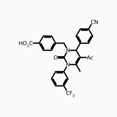 CC(=O)C1=C(C)N(c2cccc(C(F)(F)F)c2)C(=O)N(Cc2ccc(C(=O)O)cc2)C1c1ccc(C#N)cc1